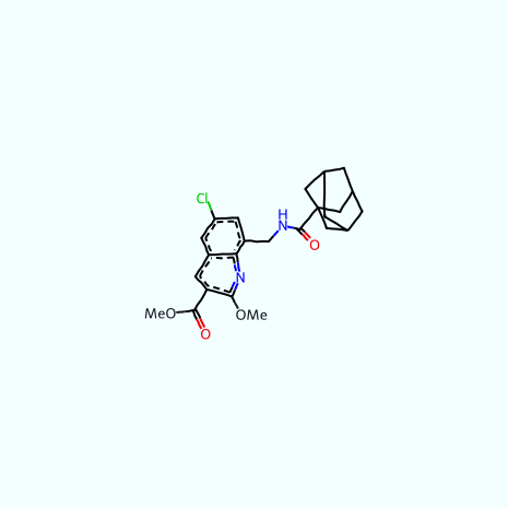 COC(=O)c1cc2cc(Cl)cc(CNC(=O)C34CC5CC(CC(C5)C3)C4)c2nc1OC